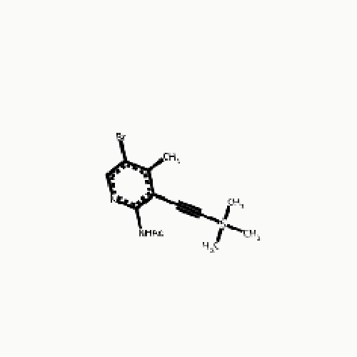 CC(=O)Nc1ncc(Br)c(C)c1C#CS(C)(C)C